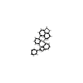 c1ccc(-c2nc3cccc4c3n2-c2cccc3c2B4c2ccc4c5c(ccc-3c25)CC4)cc1